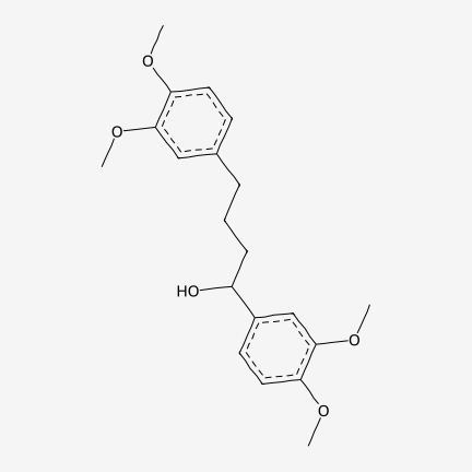 COc1ccc(CCCC(O)c2ccc(OC)c(OC)c2)cc1OC